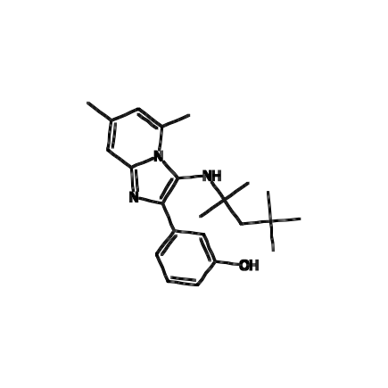 Cc1cc(C)n2c(NC(C)(C)CC(C)(C)C)c(-c3cccc(O)c3)nc2c1